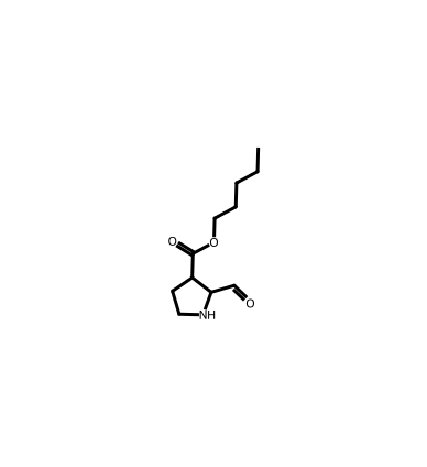 CCCCCOC(=O)C1CCNC1C=O